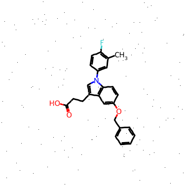 Cc1cc(-n2cc(CCC(=O)O)c3cc(OCc4ccccc4)ccc32)ccc1F